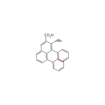 CCCCc1c(C(=O)O)cc2cccc(-c3ccccc3)c2c1-c1ccccc1